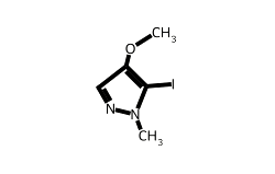 COc1cnn(C)c1I